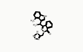 Cc1cccc2[nH]cc(C(C)c3nn(Cc4nnn[nH]4)c(=O)c4ccccc34)c12